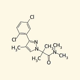 Cc1cn(C(C)(C)C(=O)N(C)C)nc1-c1cc(Cl)ccc1Cl